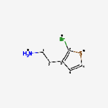 NCCc1ccsc1Br